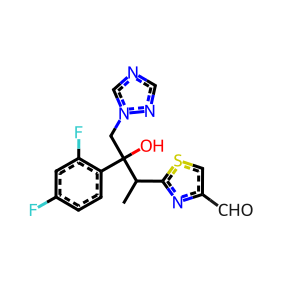 CC(c1nc(C=O)cs1)C(O)(Cn1cncn1)c1ccc(F)cc1F